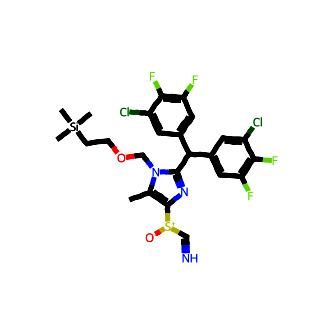 Cc1c([S+]([O-])C=N)nc(C(c2cc(F)c(F)c(Cl)c2)c2cc(F)c(F)c(Cl)c2)n1COCC[Si](C)(C)C